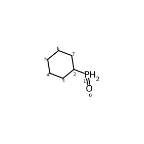 O=[PH2]C1CCCCC1